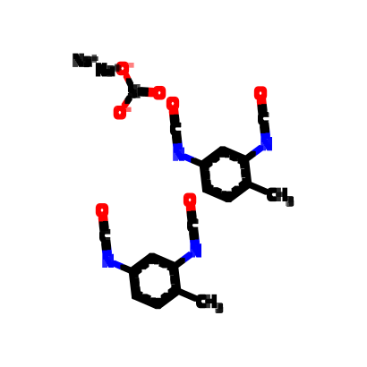 Cc1ccc(N=C=O)cc1N=C=O.Cc1ccc(N=C=O)cc1N=C=O.O=[Si]([O-])[O-].[Na+].[Na+]